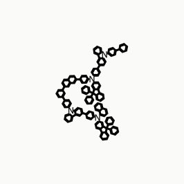 c1ccc(-c2ccc(-n3c4ccccc4c4cc(-c5ccc(N(c6ccc(-c7ccc8ccc(-c9cccc(-c%10ccc(-n%11c%12ccccc%12c%12cc(-c%13ccc(N(c%14ccc%15c(c%14)C(c%14ccccc%14)(c%14ccccc%14)c%14ccccc%14-%15)c%14cccc%15ccccc%14%15)cc%13)ccc%12%11)cc%10)c9)cc8c7)cc6)c6ccc7c(c6)C(c6ccccc6)(c6ccccc6)c6ccccc6-7)cc5)ccc43)cc2)cc1